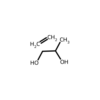 C=C.CC(O)CO